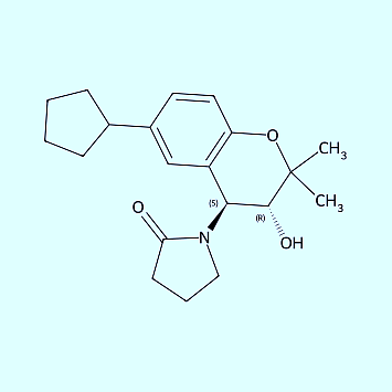 CC1(C)Oc2ccc(C3CCCC3)cc2[C@H](N2CCCC2=O)[C@H]1O